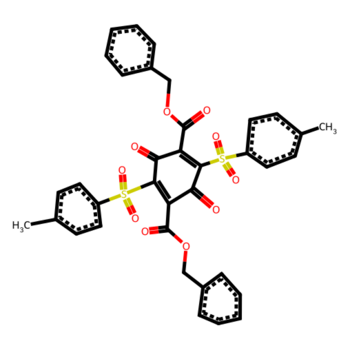 Cc1ccc(S(=O)(=O)C2=C(C(=O)OCc3ccccc3)C(=O)C(S(=O)(=O)c3ccc(C)cc3)=C(C(=O)OCc3ccccc3)C2=O)cc1